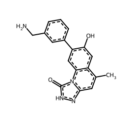 Cc1cc2n[nH]c(=O)n2c2cc(-c3cccc(CN)c3)c(O)cc12